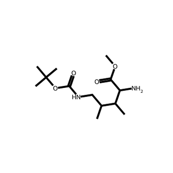 COC(=O)C(N)C(C)C(C)CNC(=O)OC(C)(C)C